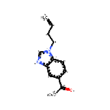 C=CCCn1cnc2cc(C(=O)OC)ccc21